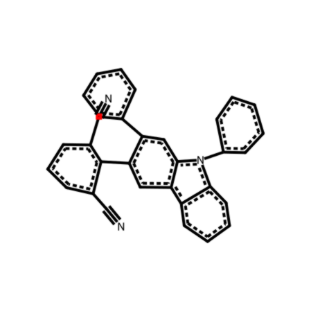 N#Cc1cccc(C#N)c1-c1cc2c3ccccc3n(-c3ccccc3)c2cc1-c1ccccc1